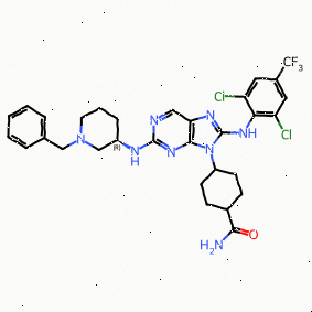 NC(=O)C1CCC(n2c(Nc3c(Cl)cc(C(F)(F)F)cc3Cl)nc3cnc(N[C@@H]4CCCN(Cc5ccccc5)C4)nc32)CC1